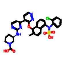 Cc1ccc2c(N(c3ccccc3Cl)S(=O)(=O)O)cccc2c1Oc1nnccc1-c1ccnc(N[C@H]2CCCN(C(=O)O)C2)n1